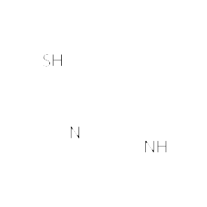 N=C/N=C\S